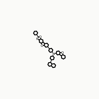 c1ccc(-c2nc3cc4oc5cc(-c6ccc(N(c7ccc(-c8cccc9ccccc89)cc7)c7ccc8oc9ccccc9c8c7)cc6)ccc5c4cc3o2)cc1